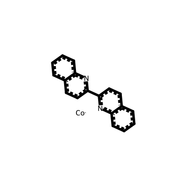 [Co].c1ccc2nc(-c3ccc4ccccc4n3)ccc2c1